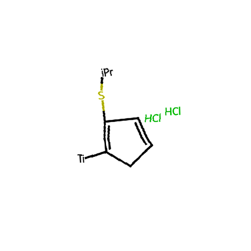 CC(C)SC1=[C]([Ti])CC=C1.Cl.Cl